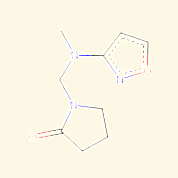 CN(CN1CCCC1=O)c1ccon1